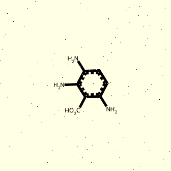 Nc1ccc(N)c(C(=O)O)c1N